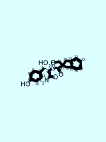 NC(=O)[C@H](Cc1ccc(O)cc1)NC(=O)C1(CC(=O)O)Cc2ccccc2C1